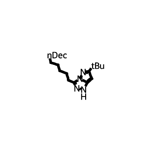 CCCCCCCCCCCCCCCc1n[nH]c2cc(C(C)(C)C)nn12